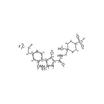 CCn1nc(C(=O)NCC2(O)CCC(S(C)(=O)=O)CC2)c(Cl)c1-c1ccc(C[C@@H](C)C(F)(F)F)cc1OC